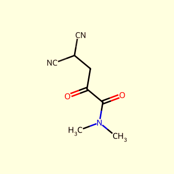 CN(C)C(=O)C(=O)CC(C#N)C#N